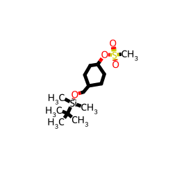 CC(C)(C)[Si](C)(C)OCC1CCC(OS(C)(=O)=O)CC1